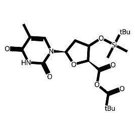 Cc1cn([C@H]2CC(O[Si](C)(C)C(C)(C)C)[C@@H](C(=O)OC(=O)C(C)(C)C)O2)c(=O)[nH]c1=O